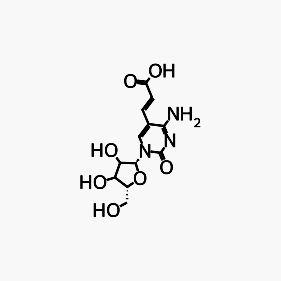 Nc1nc(=O)n([C@@H]2O[C@H](CO)C(O)C2O)cc1C=CC(=O)O